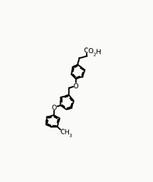 Cc1cccc(Oc2cccc(COc3ccc(CCC(=O)O)cc3)c2)c1